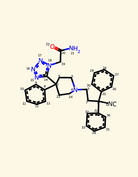 [C-]#[N+]C(CCN1CCC(c2ccccc2)(c2nnnn2CC(N)=O)CC1)(c1ccccc1)c1ccccc1